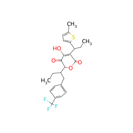 CCC(C1=C(O)C(=O)C(C(CC)Cc2ccc(C(F)(F)F)cc2)OC1=O)c1ccc(C)s1